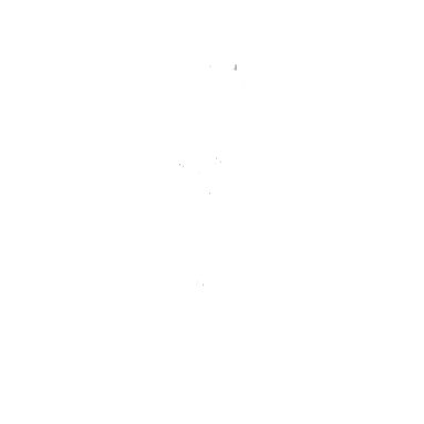 O=C1NC(=O)/C(=C/c2ccnc(N3CCC(CNCc4ccccc4-c4csc5ccccc45)CC3)n2)S1